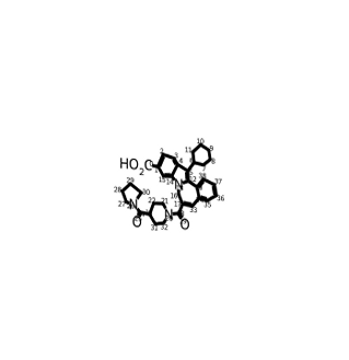 O=C(O)c1ccc2c(C3CCCCC3)c3n(c2c1)CC(C(=O)N1CCC(C(=O)N2CCCC2)CC1)=Cc1ccccc1-3